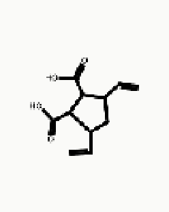 C=CC1CC(C=C)C(C(=O)O)C1C(=O)O